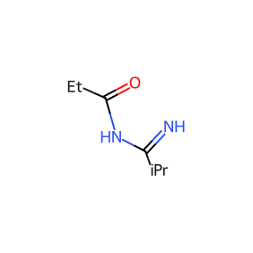 CCC(=O)NC(=N)C(C)C